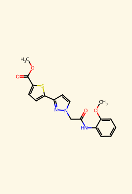 COC(=O)c1ccc(-c2ccn(CC(=O)Nc3ccccc3OC)n2)s1